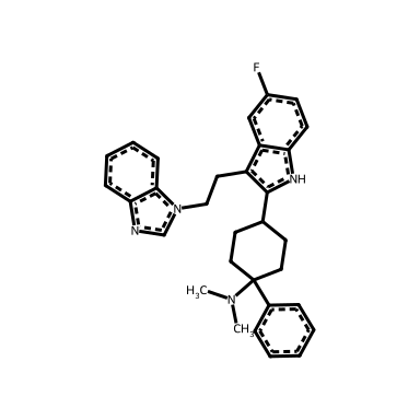 CN(C)C1(c2ccccc2)CCC(c2[nH]c3ccc(F)cc3c2CCn2cnc3ccccc32)CC1